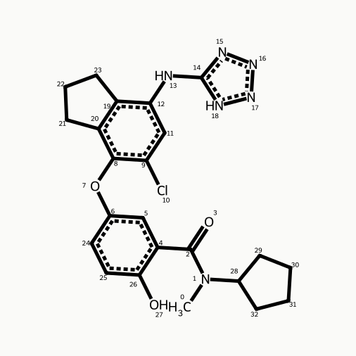 CN(C(=O)c1cc(Oc2c(Cl)cc(Nc3nnn[nH]3)c3c2CCC3)ccc1O)C1CCCC1